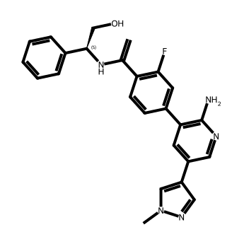 C=C(N[C@H](CO)c1ccccc1)c1ccc(-c2cc(-c3cnn(C)c3)cnc2N)cc1F